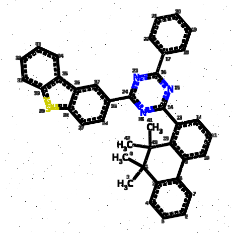 CC1(C)c2ccccc2-c2cccc(-c3nc(-c4ccccc4)nc(-c4ccc5sc6ccccc6c5c4)n3)c2C1(C)C